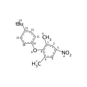 Cc1cc([N+](=O)[O-])cc(C)c1Oc1ccc(C(C)(C)C)cc1